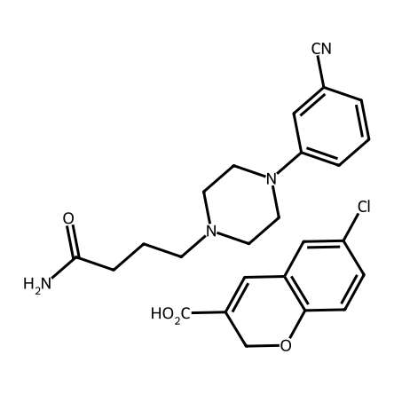 N#Cc1cccc(N2CCN(CCCC(N)=O)CC2)c1.O=C(O)C1=Cc2cc(Cl)ccc2OC1